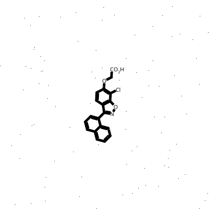 O=C(O)COc1ccc2c(-c3cccc4ccccc34)noc2c1Cl